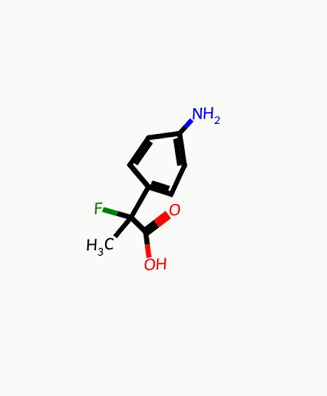 CC(F)(C(=O)O)c1ccc(N)cc1